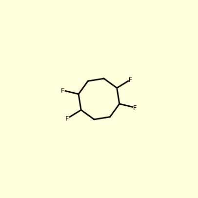 FC1CCC(F)C(F)CCC1F